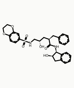 O=C(N[C@H]1c2ccccc2C[C@H]1O)[C@H](Cc1ccccc1)C[C@H](O)CNS(=O)(=O)c1ccc2c(c1)OCCO2